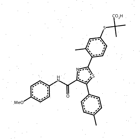 COc1ccc(NC(=O)c2nc(-c3ccc(SC(C)(C)C(=O)O)cc3C)sc2-c2ccc(C)cc2)cc1